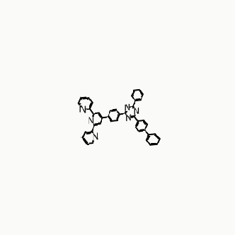 c1ccc(-c2ccc(-c3nc(-c4ccccc4)nc(-c4ccc(-c5cc(-c6ccccn6)nc(-c6ccccn6)c5)cc4)n3)cc2)cc1